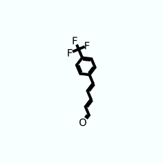 O=CC=CC=Cc1ccc(C(F)(F)F)cc1